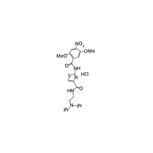 COc1cc([N+](=O)[O-])c(OC)cc1C(=O)Nc1nc(C(=O)NCCN(C(C)C)C(C)C)cs1.Cl